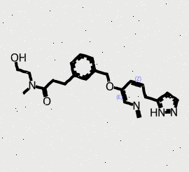 C=N/C=C(\C=C/Cc1ccn[nH]1)OCc1cccc(CCC(=O)N(C)CCO)c1